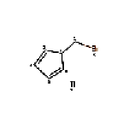 BrCC1C=CC=C1.[Ti]